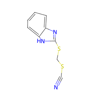 N#CSCSc1nc2ccccc2[nH]1